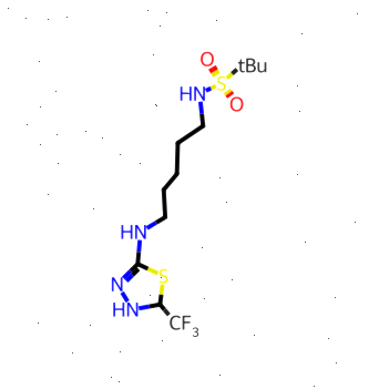 CC(C)(C)S(=O)(=O)NCCCCCNC1=NNC(C(F)(F)F)S1